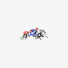 CCCC(N1CCC(O)(c2ccc(Cl)cc2)CC1)n1c(Nc2ccc(C)c(CC)c2)cc(=O)[nH]c1=O